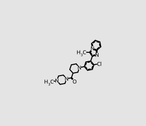 Cc1c(-c2cc(N3CCCC(C(=O)N4CCN(C)CC4)C3)ccc2Cl)nc2ccccn12